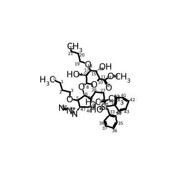 CCCCOC1[C@@H](O[C@@H]2OC(C(=O)OC)[C@@H](O)C(OCCCC)[C@@H]2O)C(CCC(C)(C)[Si](O)(c2ccccc2)c2ccccc2)OC[C@H]1N=[N+]=[N-]